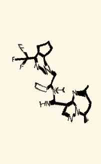 Cc1cc(C)n2ncc(C(=N)NC(=O)Cn3nc(C(F)(F)F)c4c3CCC4)c2n1